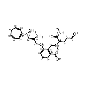 CNC(=O)C(CCC=O)N(C)Cc1c(C=O)cccc1OC/C(N)=C/N(N)C1=CC=CCC=C1